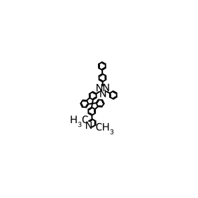 Cc1cnc(C)c(-c2ccc3c(c2)-c2ccccc2C32c3ccccc3-c3ccc(-c4nc(-c5ccccc5)nc(-c5ccc(-c6ccccc6)cc5)n4)cc32)c1